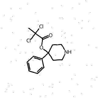 CC(Cl)(Cl)C(=O)OC1(c2ccccc2)CCNCC1